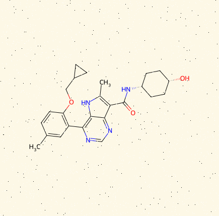 Cc1ccc(OCC2CC2)c(-c2ncnc3c(C(=O)N[C@H]4CC[C@@H](O)CC4)c(C)[nH]c23)c1